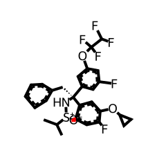 CC(C)[S@+]([O-])N[C@@](Cc1ccccc1)(c1cc(F)cc(OC(F)(F)C(F)F)c1)c1ccc(F)c(OC2CC2)c1